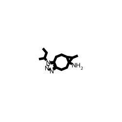 CCC(C)n1nnc2c1CCC1C(C)C1(N)CC2